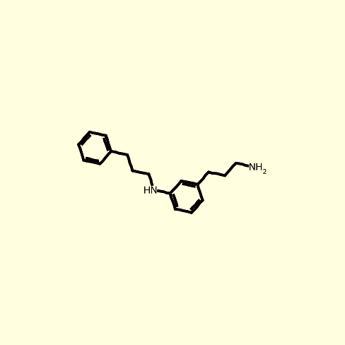 NCCCc1cccc(NCCCc2ccccc2)c1